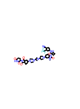 Cn1c(=O)n(C2(C(=O)Nc3ccc(C#N)c(C(F)(F)F)c3)CCC2)c2ccc(N3CCC(N4CC(N5CCN(c6ccc7c(c6)C(=O)N(C6CCC(=O)NC6=O)C7=O)CC5)C4)CC3)cc21